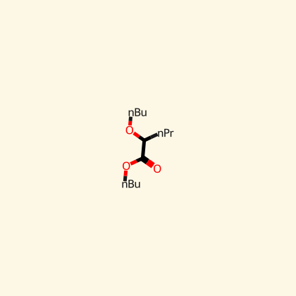 CCCCOC(=O)C(CCC)OCCCC